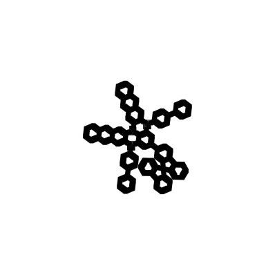 c1ccc(-c2ccc(N3c4cc5cc6ccccc6cc5cc4B4c5cc6cc7ccccc7cc6cc5N(c5ccc(-c6ccccc6)cc5)c5cc(-c6ccc7c(c6)C6(c8ccccc8-c8ccccc86)c6ccccc6-7)cc3c54)cc2)cc1